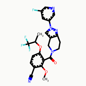 COc1c(C#N)ccc(OC(C)C(F)(F)F)c1C(=O)N1CCc2nn(-c3cncc(F)c3)cc2C1